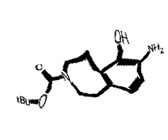 CC(C)(C)OC(=O)N1CCc2ccc(N)c(O)c2CC1